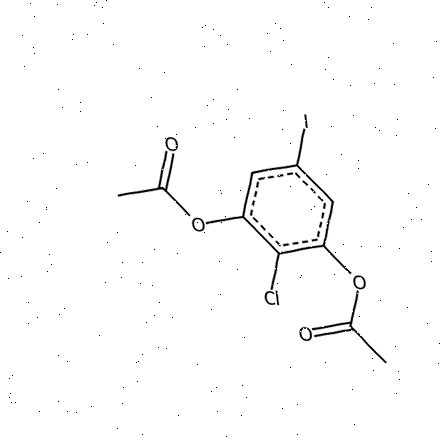 CC(=O)Oc1cc(I)cc(OC(C)=O)c1Cl